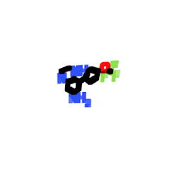 Nc1cc2c(c(-c3ccc(OC(F)(F)F)cc3)c1)NCC=N2